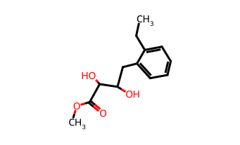 CCc1ccccc1CC(O)C(O)C(=O)OC